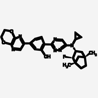 C[C@]12CC[C@](C)(C1)[C@H](F)[C@H](N(c1cnc(-c3ccc(-c4cnc5c(n4)OCCO5)cc3O)nn1)C1CC1)C2